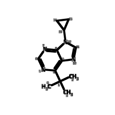 CC(C)(C)c1ncnc2c1ncn2C1CC1